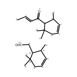 C/C=C/C(=O)C1C(C)C=CCC1(C)C.CC1C=CCC(C)(C)C1CC=O